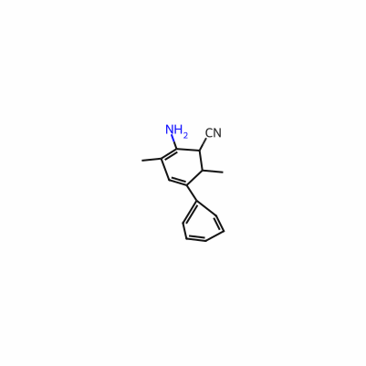 CC1=C(N)C(C#N)C(C)C(c2ccccc2)=C1